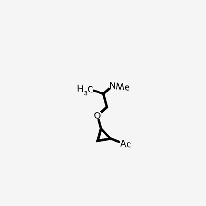 CNC(C)COC1CC1C(C)=O